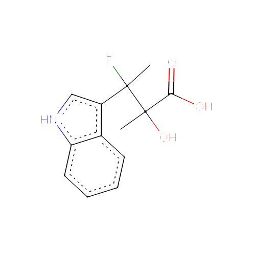 CC(O)(C(=O)O)C(C)(F)c1c[nH]c2ccccc12